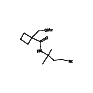 COCC1(C(=O)NC(C)(C)CCC(C)=O)CCC1